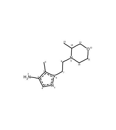 Cc1c(N)cnn1CCN1CCOCC1C